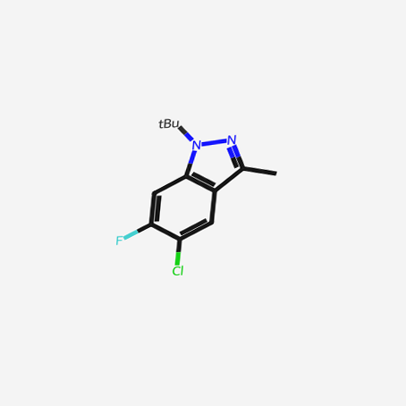 Cc1nn(C(C)(C)C)c2cc(F)c(Cl)cc12